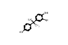 CC(C)c1cc(C(C)(C)c2ccc(O)cc2)ccc1O